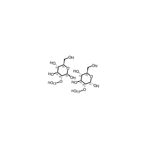 CCCCCCCCO[C@@H]1[C@@H](O)[C@H](O)[C@@H](CO)O[C@@H]1O.CCCCCCCCO[C@@H]1[C@@H](O)[C@H](O)[C@@H](CO)O[C@H]1O